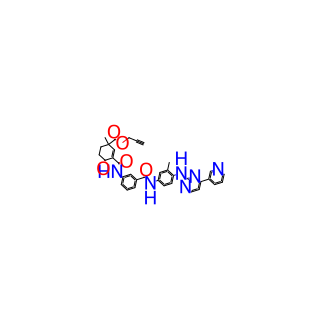 C#CCOC(=O)C1(C)C=C(C(=O)Nc2cccc(C(=O)Nc3ccc(Nc4nccc(-c5cccnc5)n4)c(C)c3)c2)C(=O)CC1